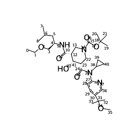 CCOC[C@@H](CC(C)C)NC(=O)[C@@H]1CN(C(=O)OC(C)(C)C)C[C@H](C(=O)N(c2ccc(C(C)(C)OC)cn2)C2CC2)[C@@H]1O